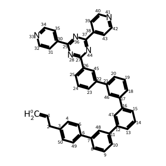 C=CCc1ccc(-c2cccc(-c3cccc(-c4cccc(-c5cccc(-c6nc(-c7ccncc7)nc(-c7ccncc7)n6)c5)c4)c3)c2)cc1